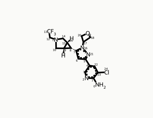 Nc1ncc(-c2cc([C@@H]3[C@@H]4CN(CC(F)(F)F)C[C@@H]43)n(C3COC3)n2)cc1Cl